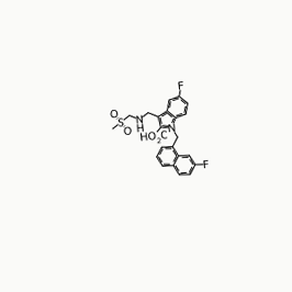 CS(=O)(=O)CNCc1c(C(=O)O)n(Cc2cccc3ccc(F)cc23)c2ccc(F)cc12